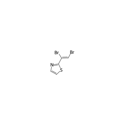 BrC=C(Br)c1nccs1